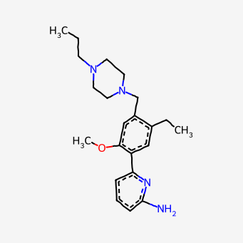 CCCN1CCN(Cc2cc(OC)c(-c3cccc(N)n3)cc2CC)CC1